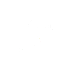 C=C(OS(=O)(=O)c1ccc(Cl)cc1)c1ccccc1